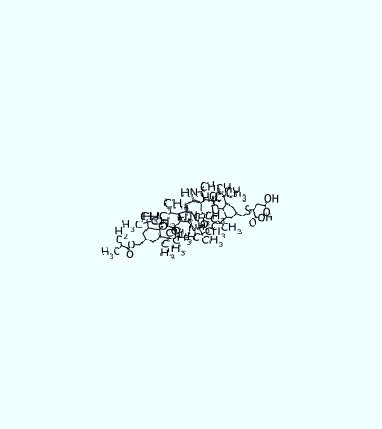 C=C(C)C(=O)OCC1CC(C(C)(C)C)C(OC(=O)C2=C(C(C)C)/C(=C/c3[nH]c(C)c(C(=O)OC4C(C(C)(C)C)CC(CSC(CC(=O)O)C(=O)O)CC4C(C)(C)C)c3C(C)C)N=C2NC(=O)C(C)(C)C)C(C(C)(C)C)C1